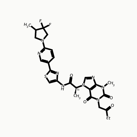 CCC(=O)Cn1c(=O)c2c(ncn2[C@@H](C)C(=O)Nc2csc(-c3ccc(N4CC(C)C(F)(F)C4)nc3)n2)n(C)c1=O